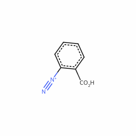 N#[N+]c1ccccc1C(=O)O